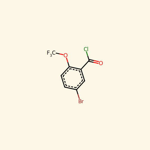 O=C(Cl)c1cc(Br)ccc1OC(F)(F)F